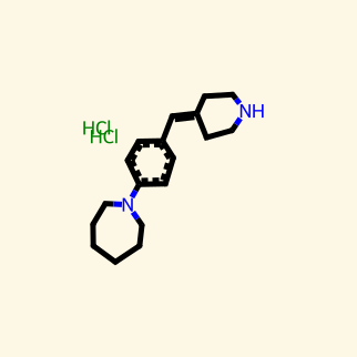 C(=C1CCNCC1)c1ccc(N2CCCCCC2)cc1.Cl.Cl